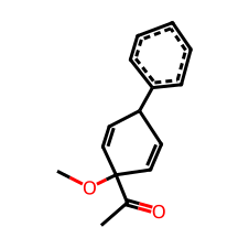 COC1(C(C)=O)C=CC(c2ccccc2)C=C1